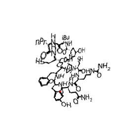 CCC[C@H](NC(=O)[C@@H](NC(=O)[C@@H]1C[C@@H](O)CN1C(=O)[C@@H]1CCCN1C(=O)[C@H](Cc1ccccc1)NC(=O)[C@H](Cc1ccc(O)cc1)NC(=O)[C@H](CCC(N)=O)NC(=O)[C@H](CCCNC(N)=O)NC(=O)[C@@H](N)CS)[C@@H](C)CC)C(=O)N[C@@H](CS)C(=O)O